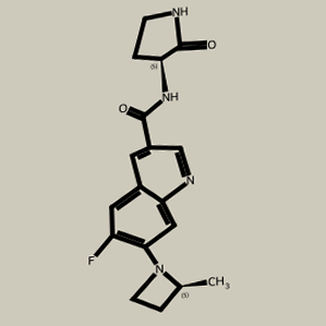 C[C@H]1CCN1c1cc2ncc(C(=O)N[C@H]3CCNC3=O)cc2cc1F